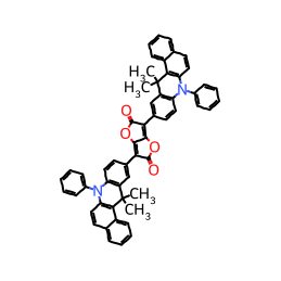 CC1(C)c2cc(C3=C4OC(=O)C(c5ccc6c(c5)C(C)(C)c5c(ccc7ccccc57)N6c5ccccc5)=C4OC3=O)ccc2N(c2ccccc2)c2ccc3ccccc3c21